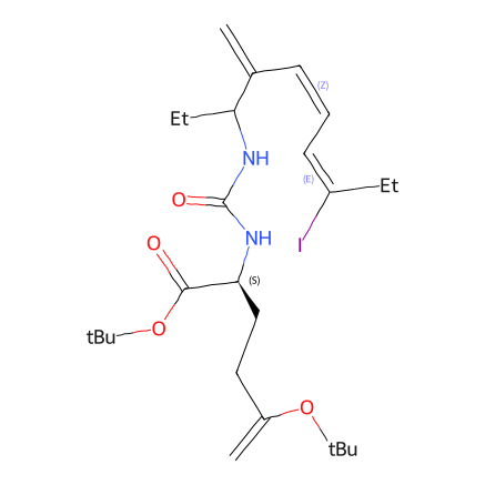 C=C(CC[C@H](NC(=O)NC(CC)C(=C)/C=C\C=C(\I)CC)C(=O)OC(C)(C)C)OC(C)(C)C